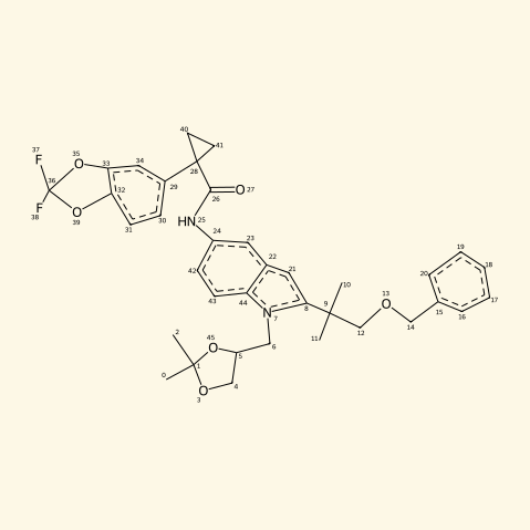 CC1(C)OCC(Cn2c(C(C)(C)COCc3ccccc3)cc3cc(NC(=O)C4(c5ccc6c(c5)OC(F)(F)O6)CC4)ccc32)O1